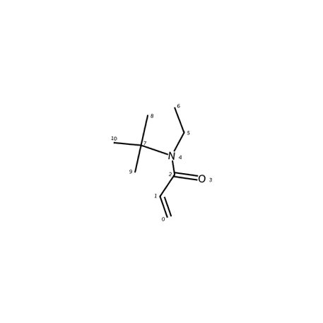 C=CC(=O)N(CC)C(C)(C)C